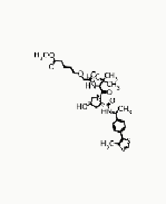 COC(=O)CCCCOCC(=O)NC(C(=O)N1C[C@H](O)C[C@H]1C(=O)NC(C)c1ccc(-c2scnc2C)cc1)C(C)(C)C